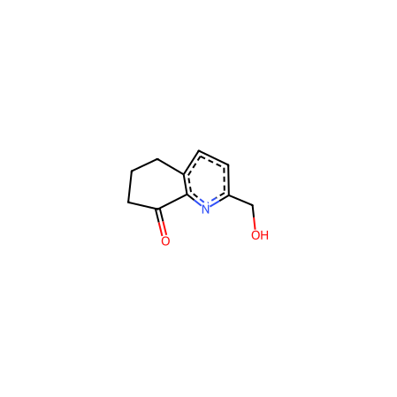 O=C1CCCc2ccc(CO)nc21